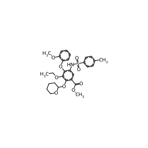 CCOc1c(Oc2ccccc2OC)c(NS(=O)(=O)c2ccc(C)cc2)cc(C(=O)OC)c1OC1CCCCO1